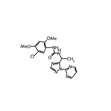 COc1cc(OC)c(NC(=O)NC(C)c2ncnn2-c2ncccn2)cc1Cl